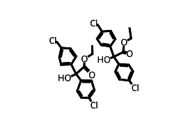 CCOC(=O)C(O)(c1ccc(Cl)cc1)c1ccc(Cl)cc1.CCOC(=O)C(O)(c1ccc(Cl)cc1)c1ccc(Cl)cc1